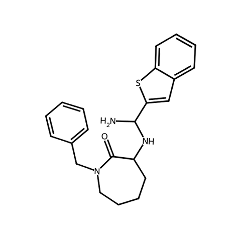 NC(NC1CCCCN(Cc2ccccc2)C1=O)c1cc2ccccc2s1